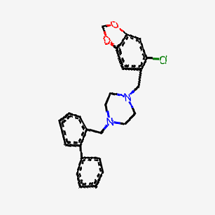 Clc1cc2c(cc1CN1CCN(Cc3ccccc3-c3ccccc3)CC1)OCO2